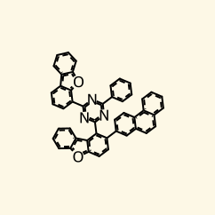 c1ccc(-c2nc(-c3cccc4c3oc3ccccc34)nc(-c3c(-c4ccc5c(ccc6ccccc65)c4)ccc4oc5ccccc5c34)n2)cc1